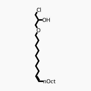 CCCCCCCC/C=C\CCCCCCCCOCC(O)CCl